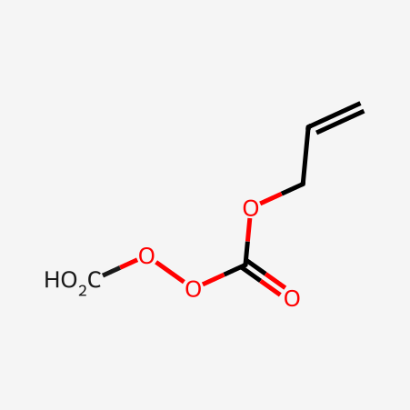 C=CCOC(=O)OOC(=O)O